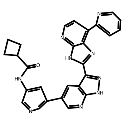 O=C(Nc1cncc(-c2cnc3[nH]nc(-c4nc5c(-c6ccccn6)ccnc5[nH]4)c3c2)c1)C1CCC1